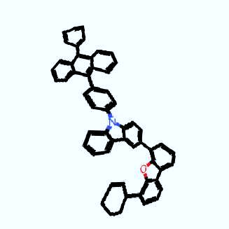 c1ccc(-c2c3ccccc3c(-c3ccc(-n4c5ccccc5c5cc(-c6cccc7c6oc6c(C8CCCCC8)cccc67)ccc54)cc3)c3ccccc23)cc1